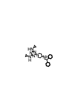 c1ccc(C(CNC2CCN(c3nc(NC4CC4)nc(NC4CC4)n3)CC2)c2ccccc2)cc1